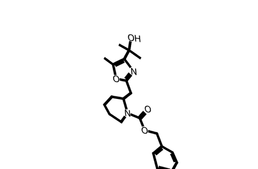 Cc1oc(CC2CCCCN2C(=O)OCc2ccccc2)nc1C(C)(C)O